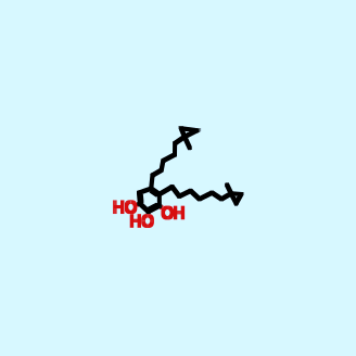 CC1(CCCCCCc2c(CCCCCC3(C)CC3)cc(O)c(O)c2O)CC1